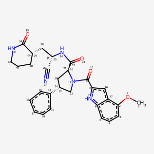 COc1cccc2[nH]c(C(=O)N3C[C@H](c4ccccc4)C[C@H]3C(=O)N[C@H](C#N)C[C@@H]3CCCNC3=O)cc12